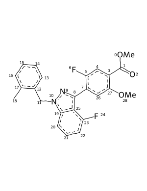 COC(=O)c1cc(F)c(-c2nn(Cc3ccccc3C)c3cccc(F)c23)cc1OC